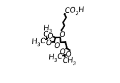 CC1(C)OCC(CC2OC3OC(C)(C)OC3C2OCCCCCC(=O)O)O1